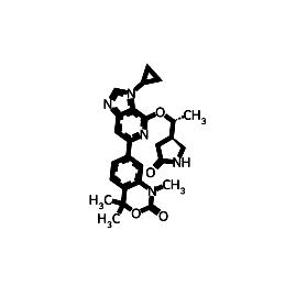 C[C@@H](Oc1nc(-c2ccc3c(c2)N(C)C(=O)OC3(C)C)cc2ncn(C3CC3)c12)[C@H]1CNC(=O)C1